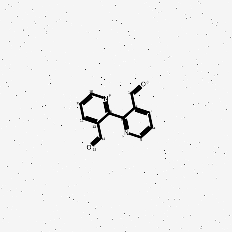 O=Cc1cccnc1-c1ncccc1C=O